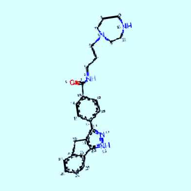 O=C(NCCCN1CCCNCC1)c1ccc(-c2n[nH]c3c2Cc2ccccc2-3)cc1